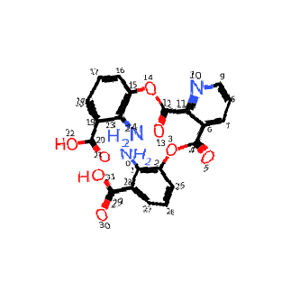 Nc1c(OC(=O)c2cccnc2C(=O)Oc2cccc(C(=O)O)c2N)cccc1C(=O)O